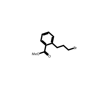 COC(=O)c1ccccc1CCCBr